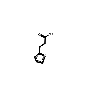 [NH]C(=O)CCc1ccco1